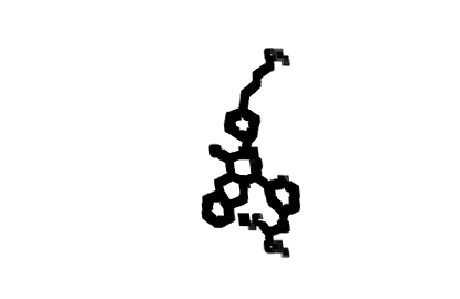 CCCCCc1ccc(NC(=O)C2Cc3ccccc3CN2C(=O)c2cc(OC(C)C)ccn2)cc1